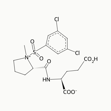 C[N+]1(S(=O)(=O)c2cc(Cl)cc(Cl)c2)CCC[C@H]1C(=O)N[C@@H](CCC(=O)O)C(=O)[O-]